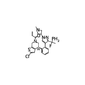 C=CC(=O)N1Cc2sc(Cl)cc2[C@H](c2ccccc2-c2cn(C3CN(C)C3)nc2C(C)(F)P)C1